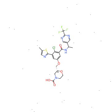 Cc1cnc(-c2cc(OC[C@H]3CN(C(=O)O)CCO3)cc(C(=O)NC(C)c3cnc(C(F)(F)F)nc3)c2Cl)s1